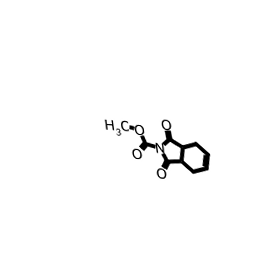 COC(=O)N1C(=O)C2CC=CCC2C1=O